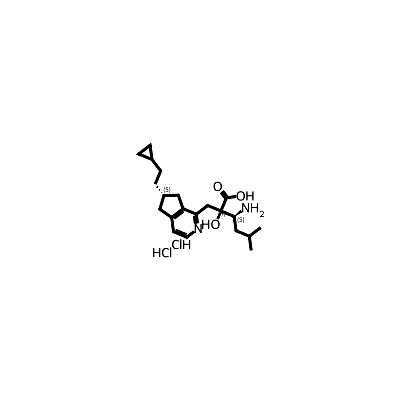 CC(C)C[C@H](N)[C@](O)(Cc1nccc2c1C[C@@H](CCC1CC1)C2)C(=O)O.Cl.Cl